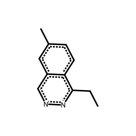 CCc1nncc2cc(C)ccc12